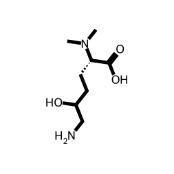 CN(C)[C@@H](CCC(O)CN)C(=O)O